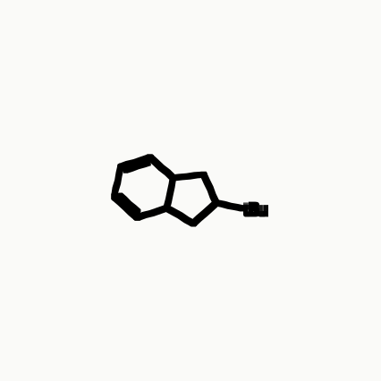 CC(C)(C)C1CC2C=CC=CC2C1